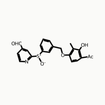 CC(=O)c1ccc(OCc2cccc([S+]([O-])c3cc(C=O)ccn3)c2)c(C)c1O